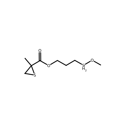 CO[SiH2]CCCOC(=O)C1(C)CS1